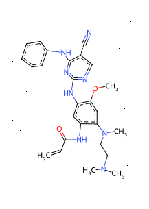 C=CC(=O)Nc1cc(Nc2ncc(C#N)c(Nc3ccccc3)n2)c(OC)cc1N(C)CCN(C)C